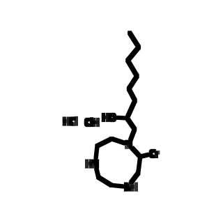 CCCCCCC(O)CN1CCNCCNC[CH]1[Cr].Cl.Cl